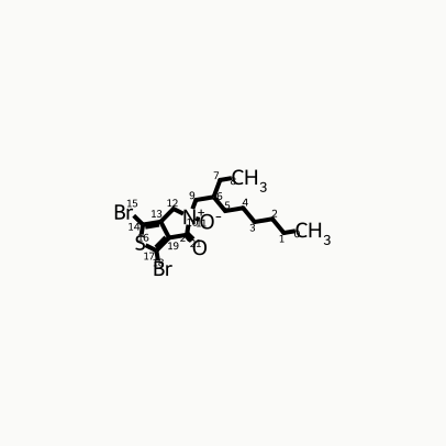 CCCCCCC(CC)C[N+]1([O-])Cc2c(Br)sc(Br)c2C1=O